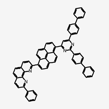 c1ccc(-c2ccc(-c3cc(-c4ccc5ccc6c(-c7ccc8ccc9ccc(-c%10ccccc%10)nc9c8n7)ccc7ccc4c5c76)nc(-c4ccc(-c5ccccc5)cc4)n3)cc2)cc1